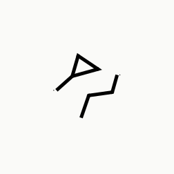 [CH2]C1CC1.[CH2]CCC